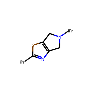 CC(C)c1nc2c(s1)CN(C(C)C)C2